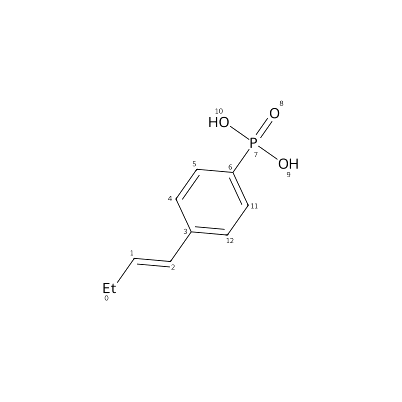 CC/C=C/c1ccc(P(=O)(O)O)cc1